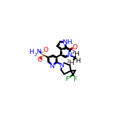 [2H]C([2H])([2H])n1cc(-c2cc(S(N)(=O)=O)cnc2N2CCC3(CC2)CC3(F)F)c2cc[nH]c2c1=O